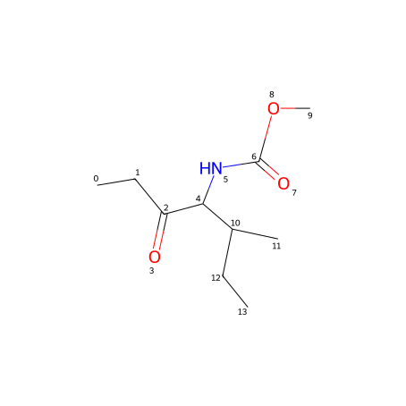 CCC(=O)C(NC(=O)OC)C(C)CC